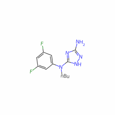 CCCCN(c1cc(F)cc(F)c1)c1nc(N)n[nH]1